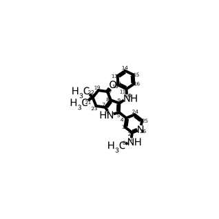 CNc1cc(-c2[nH]c3c(c2Nc2ccccc2)C(=O)CC(C)(C)C3)ccn1